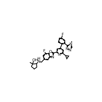 Cn1cnnc1-c1cc(F)ccc1-c1cc(-c2nc3cc(CNC4CCCC4(C)O)cc(F)c3o2)nc(C2CC2)c1